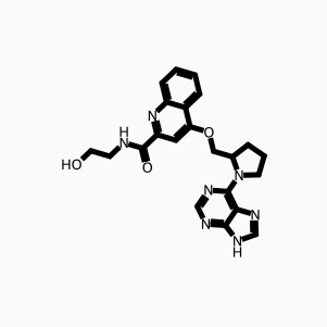 O=C(NCCO)c1cc(OCC2CCCN2c2ncnc3[nH]cnc23)c2ccccc2n1